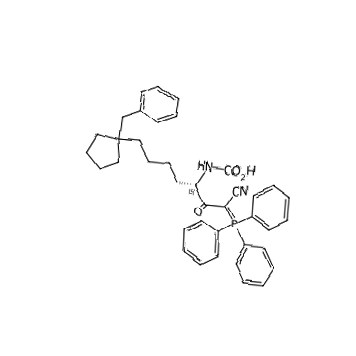 N#CC(C(=O)[C@H](CCCCC1(Cc2ccccc2)CCCC1)NC(=O)O)=P(c1ccccc1)(c1ccccc1)c1ccccc1